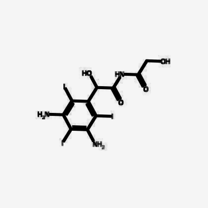 Nc1c(I)c(N)c(I)c(C(O)C(=O)NC(=O)CO)c1I